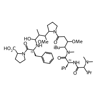 CCC(C)C(C(CC(=O)N1CCCC1C(OC)C(C)C(O)N[C@@H](Cc1ccccc1)C(=O)N1CCCC1C(=O)O)OC)N(C)C(=O)[C@@H](NC(=O)C(C(C)C)N(C)C)C(C)C